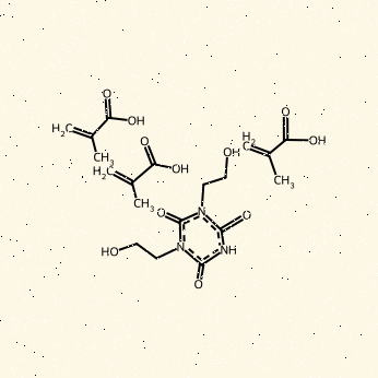 C=C(C)C(=O)O.C=C(C)C(=O)O.C=C(C)C(=O)O.O=c1[nH]c(=O)n(CCO)c(=O)n1CCO